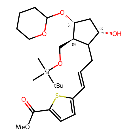 COC(=O)c1ccc(C=CCC2[C@@H](CO[Si](C)(C)C(C)(C)C)[C@H](OC3CCCCO3)C[C@@H]2O)s1